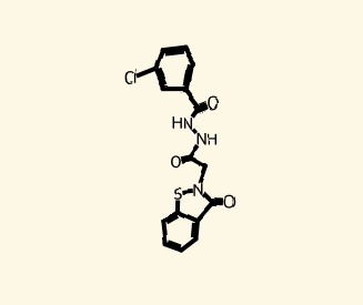 O=C(Cn1sc2ccccc2c1=O)NNC(=O)c1cccc(Cl)c1